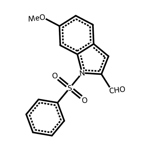 COc1ccc2cc(C=O)n(S(=O)(=O)c3ccccc3)c2c1